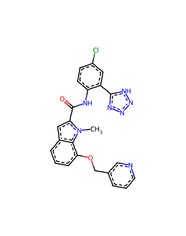 Cn1c(C(=O)Nc2ccc(Cl)cc2-c2nnn[nH]2)cc2cccc(OCc3cccnc3)c21